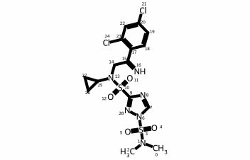 CN(C)S(=O)(=O)n1cnc(S(=O)(=O)N(CC(=N)c2ccc(Cl)cc2Cl)C2CC2)n1